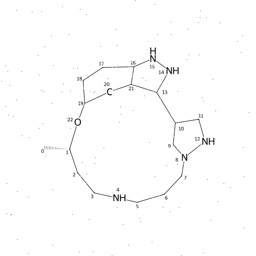 C[C@H]1CCNCCCN2CC(CN2)C2NNC3CCC(CC32)O1